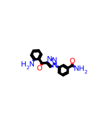 NC(=O)c1cccc(-n2cc(C(=O)c3ccccc3N)nn2)c1